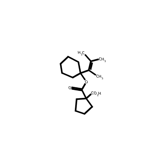 CC(C)=C(C)C1(OC(=O)C2(C(=O)O)CCCC2)CCCCC1